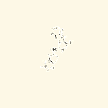 Brc1cnc(Nc2ccc3c(c2)CNCC3)nc1Nc1ncccn1